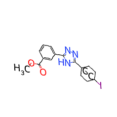 COC(=O)c1cccc(-c2nnc(C34CCC(I)(CC3)CC4)[nH]2)c1